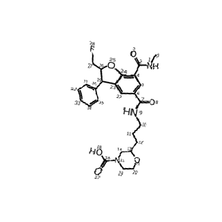 CNC(=O)c1cc(C(=O)NCCCC2CN(C(=O)O)CCO2)cc2c1OC(CF)C2c1ccccc1